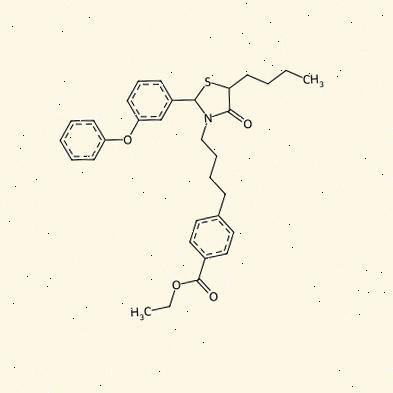 CCCCC1SC(c2cccc(Oc3ccccc3)c2)N(CCCCc2ccc(C(=O)OCC)cc2)C1=O